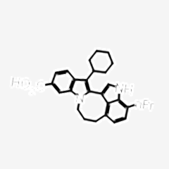 CCCc1ccc2c3c(c[nH]c13)-c1c(C3CCCCC3)c3ccc(C(=O)O)cc3n1CCC2